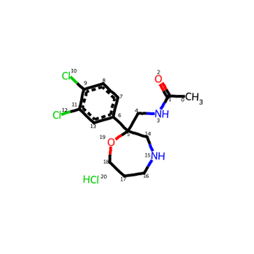 CC(=O)NCC1(c2ccc(Cl)c(Cl)c2)CNCCCO1.Cl